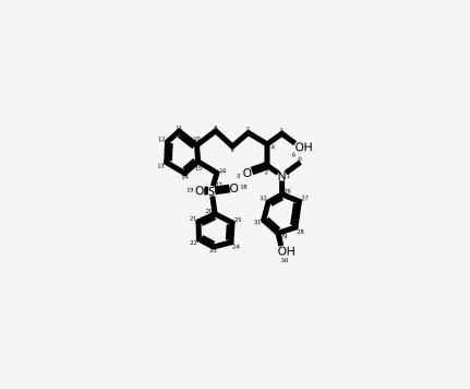 CN(C(=O)C(CO)CCCc1ccccc1CS(=O)(=O)c1ccccc1)c1ccc(O)cc1